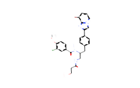 CC(C)Oc1ccc(C(=O)NC(CNC(=O)CCO)Cc2ccc(-c3cn4cccc(Br)c4n3)cc2)cc1Cl